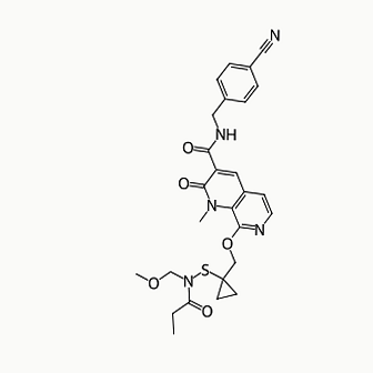 CCC(=O)N(COC)SC1(COc2nccc3cc(C(=O)NCc4ccc(C#N)cc4)c(=O)n(C)c23)CC1